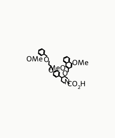 COc1ccccc1COCCCOc1ccc(C2CCN(C(=O)O)CC2OCc2cc(OC)c3ccccc3c2OC)cc1